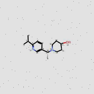 CC(C)c1ccc([C@@H](C)N2CCC(O)CC2)cn1